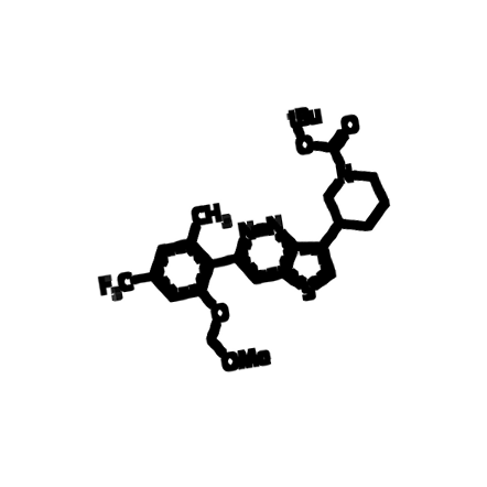 COCOc1cc(C(F)(F)F)cc(C)c1-c1cc2scc(C3CCCN(C(=O)OC(C)(C)C)C3)c2nn1